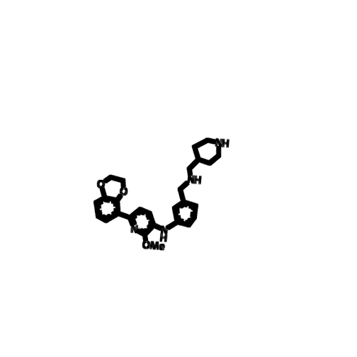 COc1nc(-c2cccc3c2OCCO3)ccc1Nc1cccc(CNCC2CCNCC2)c1